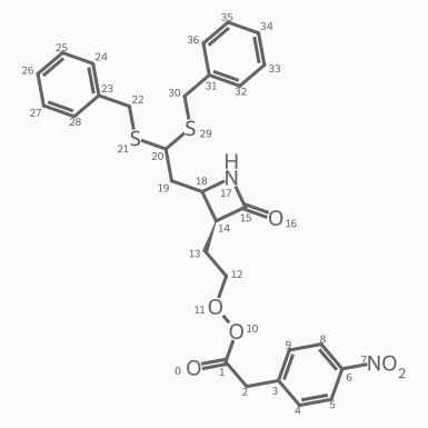 O=C(Cc1ccc([N+](=O)[O-])cc1)OOCC[C@@H]1C(=O)NC1CC(SCc1ccccc1)SCc1ccccc1